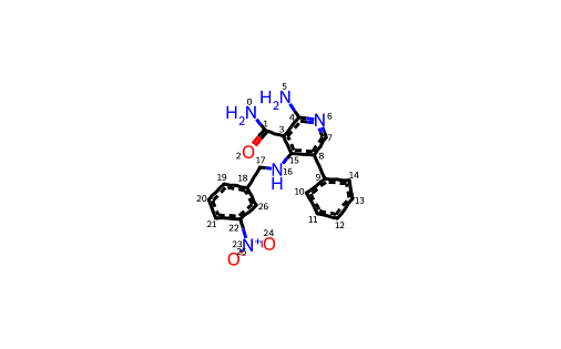 NC(=O)c1c(N)ncc(-c2ccccc2)c1NCc1cccc([N+](=O)[O-])c1